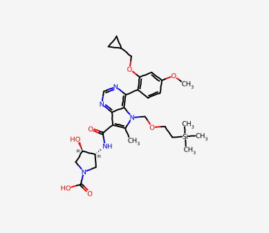 COc1ccc(-c2ncnc3c(C(=O)N[C@@H]4CN(C(=O)O)C[C@H]4O)c(C)n(COCC[Si](C)(C)C)c23)c(OCC2CC2)c1